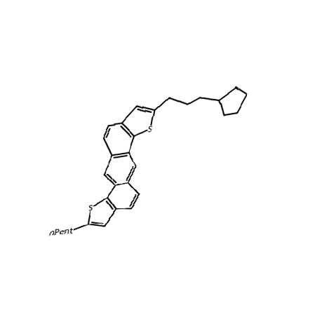 CCCCCc1cc2ccc3cc4c(ccc5cc(CCCC6CCCC6)sc54)cc3c2s1